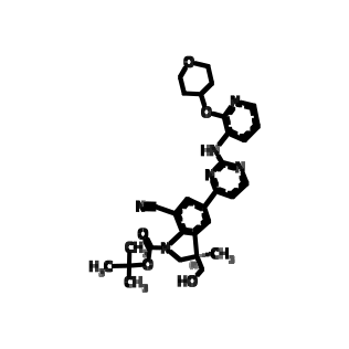 CC(C)(C)OC(=O)N1C[C@](C)(CO)c2cc(-c3ccnc(Nc4cccnc4OC4CCOCC4)n3)cc(C#N)c21